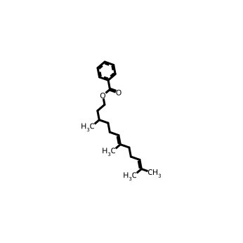 CC(C)=CCC/C(C)=C/CCC(C)CCOC(=O)c1ccccc1